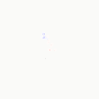 CCCCCCCC/C=C\CCCCCCCC(=O)CC[C@H](COC(=O)CCCCCCC/C=C\CCCCCCCC)COC(=O)CCC(=O)OCCNC(=O)C(N)Cc1cnc[nH]1